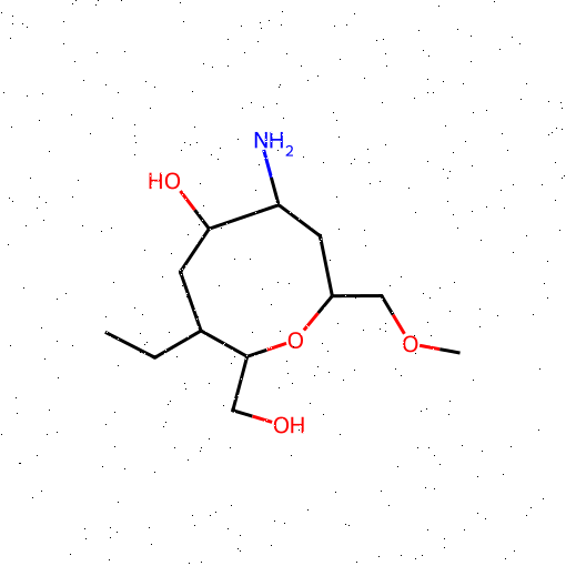 CCC1CC(O)C(N)CC(COC)OC1CO